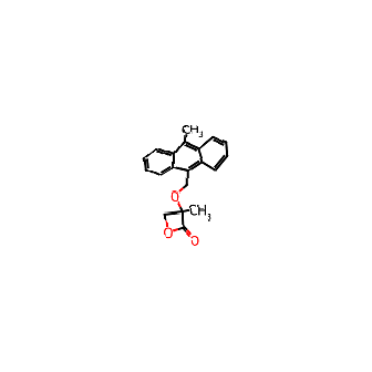 Cc1c2ccccc2c(COC2(C)COC2=O)c2ccccc12